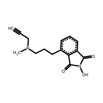 C#CCN(C)CCCc1cccc2c1C(=O)N(O)C2=O